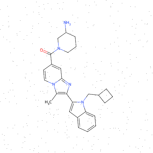 Cc1c(-c2cc3ccccc3n2CC2CCC2)nc2cc(C(=O)N3CCCC(N)C3)ccn12